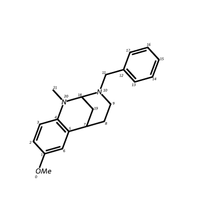 COc1ccc2c(c1)C1CCN(Cc3ccccc3)C(C1)N2C